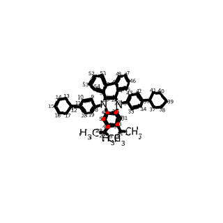 CC(C)c1ccc(N(c2ccc(C3CCCCC3)cc2)c2c(N(c3ccc(C(C)C)cc3)c3ccc(C4CCCCC4)cc3)c3ccccc3c3ccccc23)cc1